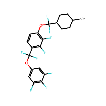 CCCC1CCC(C(F)(F)Oc2ccc(C(F)(F)Oc3cc(F)c(F)c(F)c3)c(F)c2F)CC1